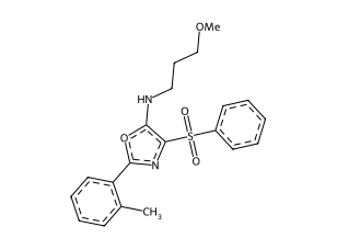 COCCCNc1oc(-c2ccccc2C)nc1S(=O)(=O)c1ccccc1